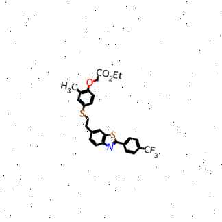 CCOC(=O)COc1ccc(SCCc2ccc3nc(-c4ccc(C(F)(F)F)cc4)sc3c2)cc1C